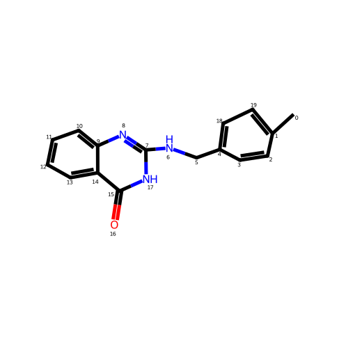 Cc1ccc(CNc2nc3ccccc3c(=O)[nH]2)cc1